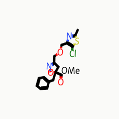 COC(=O)C1(Cc2ccccc2)CC(COCc2nc(C)sc2Cl)=NO1